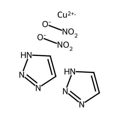 O=[N+]([O-])[O-].O=[N+]([O-])[O-].[Cu+2].c1c[nH]nn1.c1c[nH]nn1